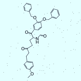 COc1ccc(CCC(=O)CCC(NC=O)C(=O)c2ccc(OCc3ccccc3)c(OCc3ccccc3)c2)cc1